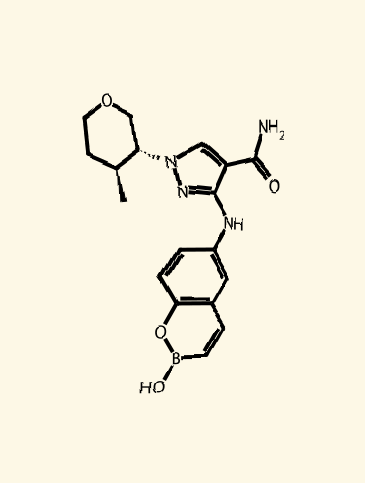 C[C@H]1CCOC[C@@H]1n1cc(C(N)=O)c(Nc2ccc3c(c2)C=CB(O)O3)n1